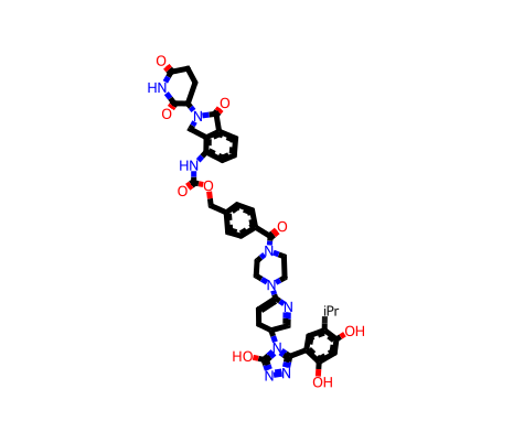 CC(C)c1cc(-c2nnc(O)n2C2C=NC(N3CCN(C(=O)c4ccc(COC(=O)Nc5cccc6c5CN(C5CCC(=O)NC5=O)C6=O)cc4)CC3)=CC2)c(O)cc1O